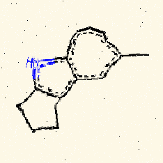 Cc1ccc2[nH]c3c(c2c1)CCC3